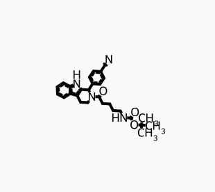 CC(C)(C)OC(=O)NCCCCC(=O)N1CCc2c([nH]c3ccccc23)C1c1ccc(C#N)cc1